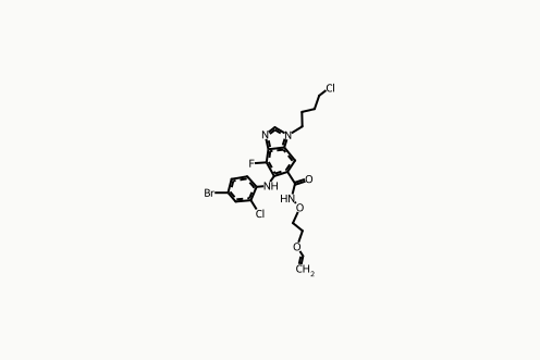 C=COCCONC(=O)c1cc2c(ncn2CCCCCl)c(F)c1Nc1ccc(Br)cc1Cl